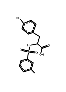 O=C(O)C(Cc1ccc(O)cc1)NS(=O)(=O)c1cccc(F)c1